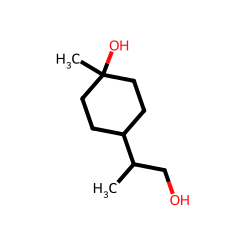 CC(CO)C1CCC(C)(O)CC1